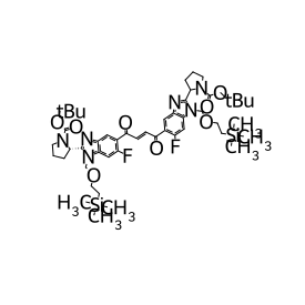 CC(C)(C)OC(=O)N1CCCC1c1nc2cc(C(=O)/C=C/C(=O)c3cc4nc([C@@H]5CCCN5C(=O)OC(C)(C)C)n(COCC[Si](C)(C)C)c4cc3F)c(F)cc2n1COCC[Si](C)(C)C